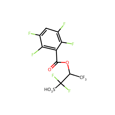 O=C(OC(C(F)(F)F)C(F)(F)S(=O)(=O)O)c1c(F)c(F)cc(F)c1F